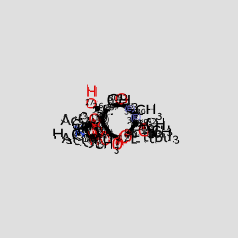 CC[C@@H]1OC(=O)C[C@H](O)[C@@H](C)[C@H](OC2O[C@H](C)[C@H](OC(C)=O)[C@H](N(C)C)[C@@H]2OC(C)=O)[C@H](CCO)C[C@H](C)C(=O)/C=C/C(C)=C/[C@@H]1CO[Si](C)(C)C(C)(C)C